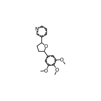 COc1cc(C2CCC(c3cccnc3)O2)cc(OC)c1OC